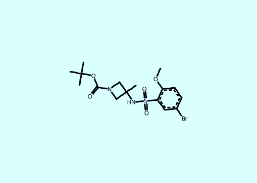 COc1ccc(Br)cc1S(=O)(=O)NC1(C)CN(C(=O)OC(C)(C)C)C1